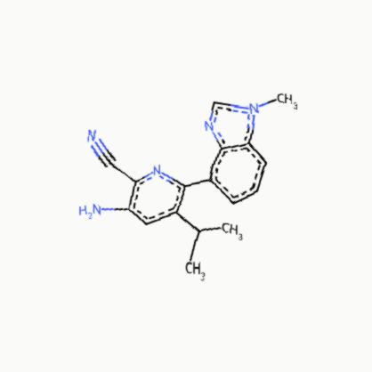 CC(C)c1cc(N)c(C#N)nc1-c1cccc2c1ncn2C